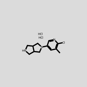 Cc1cc(N2CC3CNCC3C2)cnc1Cl.Cl.Cl